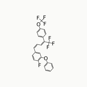 Fc1ccc(/C=C\C=C(/c2ccc(OC(F)(F)F)cc2)C(F)(F)F)cc1Oc1ccccc1